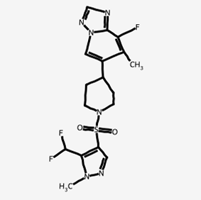 Cc1c(C2CCN(S(=O)(=O)c3cnn(C)c3C(F)F)CC2)cn2ncnc2c1F